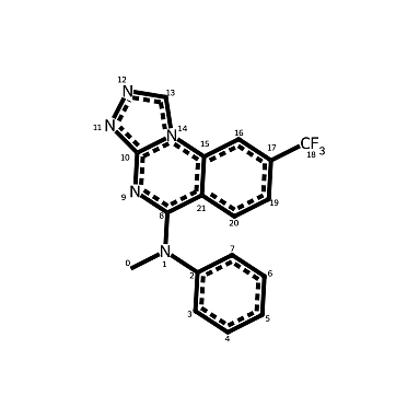 CN(c1ccccc1)c1nc2nncn2c2cc(C(F)(F)F)ccc12